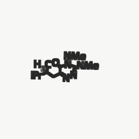 CNc1nnc(CC(C)C(C)C)c(=O)n1NC